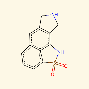 O=S1(=O)Nc2c3c(cc4cccc1c24)CNC3